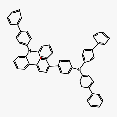 C1=C(c2ccccc2)CCC(N(c2ccc(-c3ccccc3)cc2)c2ccc(-c3ccc(-c4ccccc4N(c4ccccc4)c4ccc(-c5ccccc5)cc4)cc3)cc2)=C1